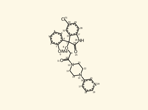 COc1ccccc1C1(OCC(=O)N2CCN(c3cccnc3)CC2)C(=O)Nc2ccc(Cl)cc21